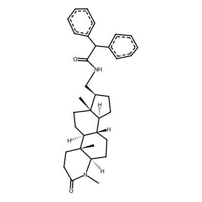 CN1C(=O)CC[C@]2(C)[C@H]3CC[C@]4(C)[C@@H](CNC(=O)C(c5ccccc5)c5ccccc5)CC[C@H]4[C@@H]3CC[C@@H]12